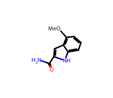 COc1cccc2[nH]c(C(N)=O)cc12